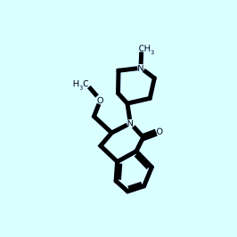 COCC1Cc2ccccc2C(=O)N1C1CCN(C)CC1